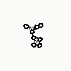 c1ccc(Nc2ccc(-c3ccc4c(c3)c3cccc5c3n4-c3ccccc3-c3ccccc3-5)cc2-c2ccc3ccccc3c2)cc1